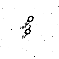 N=c1sc2c(n1Cc1ccc(Br)cc1)CCCC2